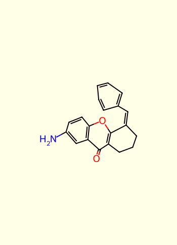 Nc1ccc2oc3c(c(=O)c2c1)CCC/C3=C/c1ccccc1